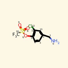 NCc1ccc(OS(=O)(=O)C(F)(F)F)c(Cl)c1